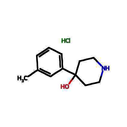 Cc1cccc(C2(O)CCNCC2)c1.Cl